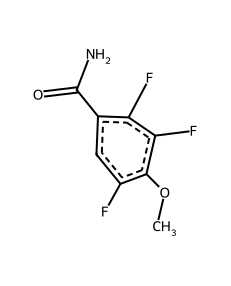 COc1c(F)cc(C(N)=O)c(F)c1F